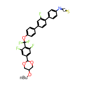 CCCCOC1COC(c2cc(F)c(C(F)(F)Oc3ccc(-c4ccc(-c5ccc(N=C=S)cc5)c(F)c4)cc3)c(F)c2)OC1